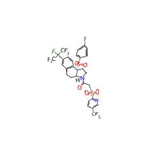 O=C(CS(=O)(=O)c1ccc(C(F)(F)F)cn1)N1CC[C@]2(S(=O)(=O)c3ccc(F)cc3)c3ccc(C(F)(C(F)(F)F)C(F)(F)F)cc3CC[C@H]12